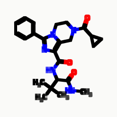 CNC(=O)C(NC(=O)c1nc(-c2ccccc2)n2c1CN(C(=O)C1CC1)CC2)C(C)(C)C